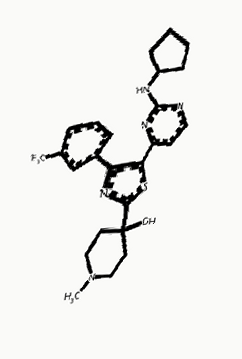 CN1CCC(O)(c2nc(-c3cccc(C(F)(F)F)c3)c(-c3ccnc(NC4CCCC4)n3)s2)CC1